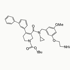 COc1cc(CN(C(=O)C2=C(c3cccc(-c4ccccc4)c3)CCN(C(=O)OC(C)(C)C)C2)C2CC2)cc(OCCNC(C)=O)c1